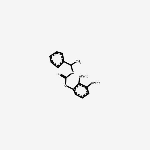 CCCCCc1cccc(OC(=O)OC(C)c2ccccc2)c1CCCCC